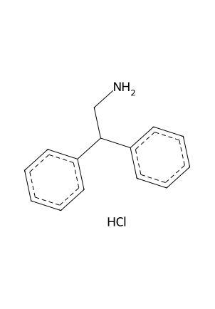 Cl.NCC(c1ccccc1)c1ccccc1